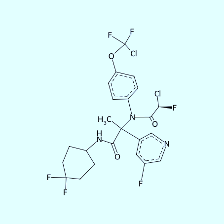 CC(C(=O)NC1CCC(F)(F)CC1)(c1cncc(F)c1)N(C(=O)[C@H](F)Cl)c1ccc(OC(F)(F)Cl)cc1